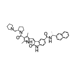 Cc1[nH]c(C=C2C(=O)Nc3ccc(C(=O)N[C@H](C)c4ccc5ccccc5c4)cc32)c(C)c1C(=O)N1CCC[C@@H]1CN1CCCC1